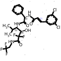 CC(C)[C@H](NC(=O)[C@@H](NC(=O)/C=C/c1cc(Cl)cc(Cl)c1)c1ccccc1)[C@@H](O)C(F)(F)C(=O)NCC(F)(F)F